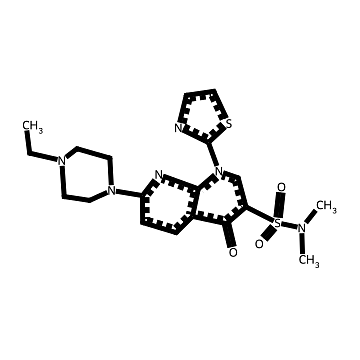 CCN1CCN(c2ccc3c(=O)c(S(=O)(=O)N(C)C)cn(-c4nccs4)c3n2)CC1